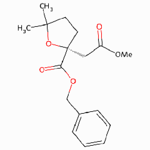 COC(=O)C[C@@]1(C(=O)OCc2ccccc2)CCC(C)(C)O1